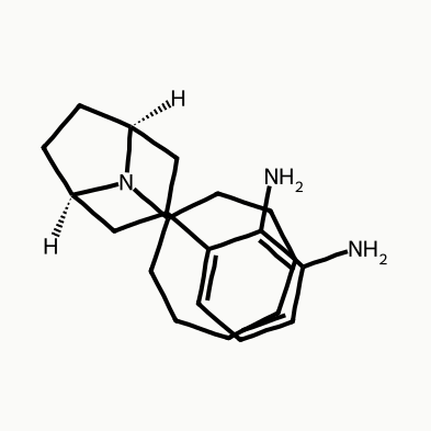 Nc1cccc(C2C[C@H]3CC[C@@H](C2)N3C2CCCCCCC2)c1N